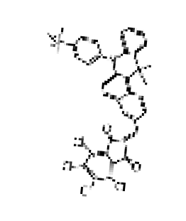 CC1(C)c2ccccc2N(c2ccc([Si](C)(C)C)cc2)c2ccc3cc(C=C4C(=O)c5c(Cl)c(Cl)c(Cl)c(Cl)c5C4=O)ccc3c21